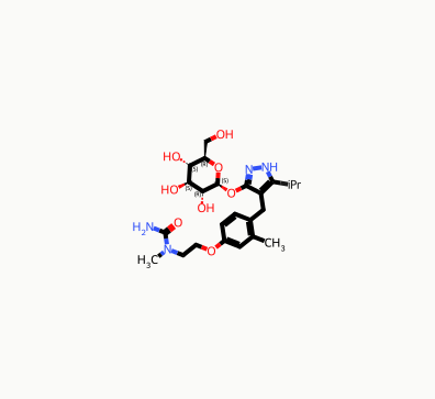 Cc1cc(OCCN(C)C(N)=O)ccc1Cc1c(O[C@@H]2O[C@H](CO)[C@@H](O)[C@H](O)[C@H]2O)n[nH]c1C(C)C